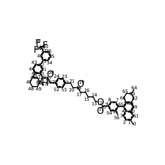 Cc1ccc2c(-c3ccc(C(=O)OCCCCCC(=O)CCc4ccc(CC(=O)C5c6cc(-c7cccc(C(F)(F)F)c7)ccc6C6CCC[C@H]5C6)cc4)cc3C)c3c(cc2c1)CC(C)CC3